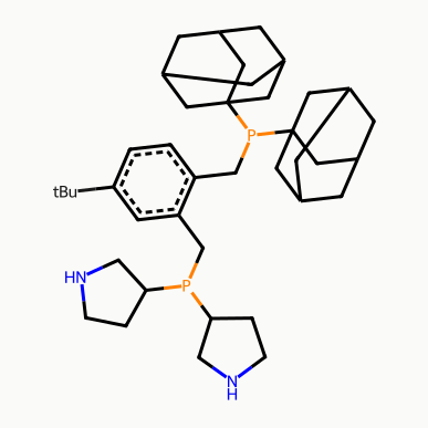 CC(C)(C)c1ccc(CP(C23CC4CC(CC(C4)C2)C3)C23CC4CC(CC(C4)C2)C3)c(CP(C2CCNC2)C2CCNC2)c1